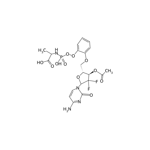 CC(=O)O[C@@H]1[C@@H](COc2ccccc2OOP(=O)(O)NC(C)C(=O)O)OC(n2ccc(N)nc2=O)C1(F)F